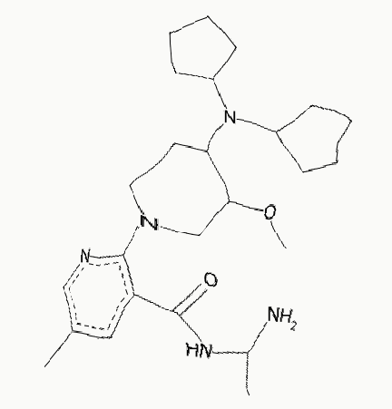 COC1CN(c2ncc(C)cc2C(=O)NC(C)N)CCC1N(C1CCCC1)C1CCCC1